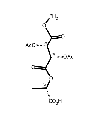 CC(=O)O[C@H](C(=O)OP)[C@H](OC(C)=O)C(=O)O[C@@H](C)C(=O)O